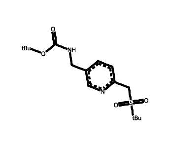 CC(C)(C)OC(=O)NCc1ccc(CS(=O)(=O)C(C)(C)C)nc1